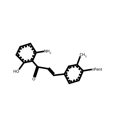 CCCCCc1ccc(C=CC(=O)c2c(N)cccc2O)cc1C